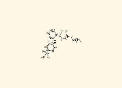 C=CCN1CCC(c2cncnc2Oc2ccc(C(F)(F)F)nc2)CC1